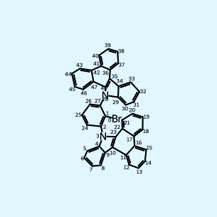 Brc1c(-n2c3ccccc3c3c4ccccc4c4ccccc4c32)cccc1-n1c2ccccc2c2c3ccccc3c3ccccc3c21